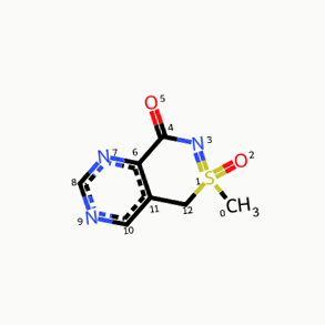 CS1(=O)=NC(=O)c2ncncc2C1